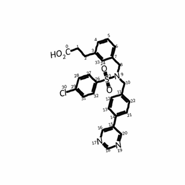 O=C(O)CCc1cccc(CN(Cc2ccc(-c3cncnc3)cc2)S(=O)(=O)c2ccc(Cl)cc2)c1